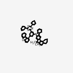 CC1(C)c2cc3c(cc2-c2c1ccc1ccccc21)c1ccccc1n3-c1cc(-c2nc(-c3ccccc3)nc(-c3ccccc3)n2)cc(-c2cccc3oc4ccccc4c23)c1